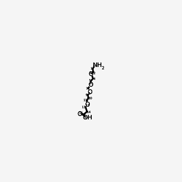 NCCOCCOCOCCCOCCC(=O)O